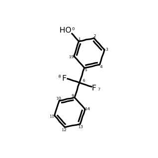 Oc1cccc(C(F)(F)c2ccccc2)c1